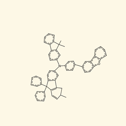 CC1C=CC2=C(C1)c1cc(N(c3ccc(-c4ccc5oc6ccccc6c5c4)cc3)c3ccc4c(c3)C(C)(C)c3ccccc3-4)ccc1C2(c1ccccc1)c1ccccc1